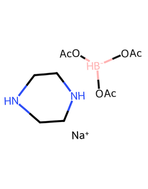 C1CNCCN1.CC(=O)O[BH-](OC(C)=O)OC(C)=O.[Na+]